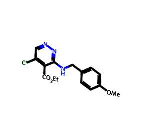 CCOC(=O)c1c(Cl)cnnc1NCc1ccc(OC)cc1